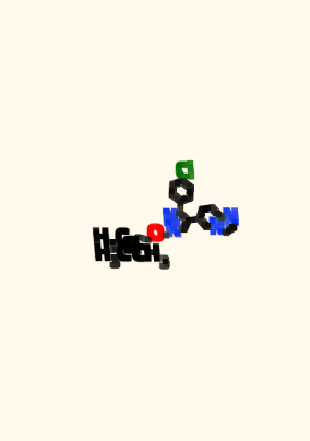 C[Si](C)(C)CCOCn1cc(-c2ccc3nccn3c2)c(-c2ccc(Cl)cc2)n1